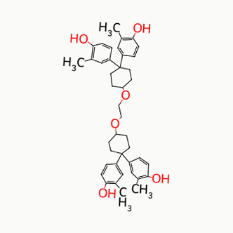 Cc1cc(C2(c3ccc(O)c(C)c3)CCC(OCCOC3CCC(c4ccc(O)c(C)c4)(c4ccc(O)c(C)c4)CC3)CC2)ccc1O